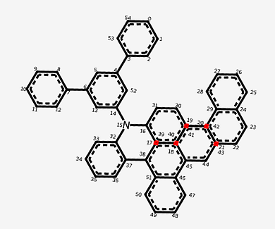 c1ccc(-c2cc(-c3ccccc3)cc(N(c3ccc(-c4cccc5ccccc45)cc3)c3ccccc3-c3cc4ccccc4c4ccccc34)c2)cc1